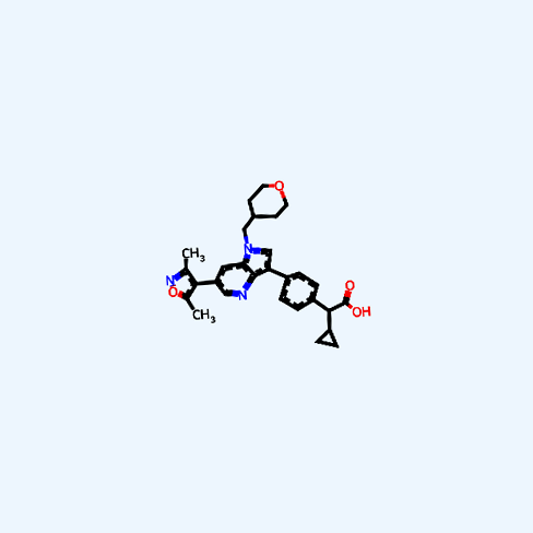 Cc1noc(C)c1-c1cnc2c(-c3ccc(C(C(=O)O)C4CC4)cc3)cn(CC3CCOCC3)c2c1